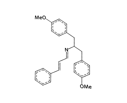 COc1ccc(CC(Cc2ccc(OC)cc2)N=CC=Cc2ccccc2)cc1